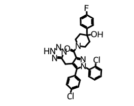 O=C(c1nn(-c2ccccc2Cl)c(-c2ccc(Cl)cc2)c1Cc1nn[nH]n1)N1CCC(O)(c2ccc(F)cc2)CC1